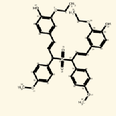 CCOc1cc(C=CC(c2ccc(OC)cc2)S(=O)(=O)C(C=Cc2ccc(O)c(OCC)c2)c2ccc(OC)cc2)ccc1O